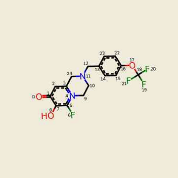 O=c1cc2n(c(F)c1O)CCN(Cc1ccc(OC(F)(F)F)cc1)C2